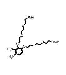 COCCOCCOCCOc1ccc(N)c(N)c1OCCOCCOCCOC